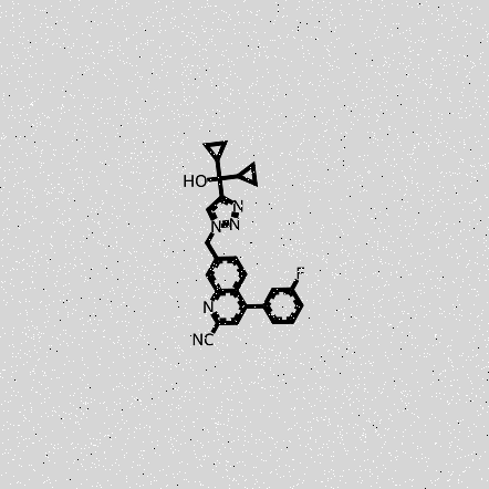 N#Cc1cc(-c2cccc(F)c2)c2ccc(Cn3cc(C(O)(C4CC4)C4CC4)nn3)cc2n1